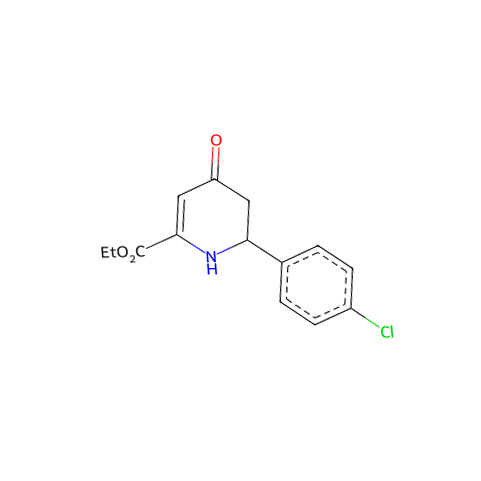 CCOC(=O)C1=CC(=O)CC(c2ccc(Cl)cc2)N1